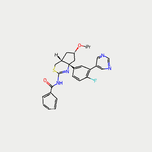 CC(C)O[C@@H]1C[C@H]2CSC(NC(=O)c3ccccc3)=N[C@@]2(c2ccc(F)c(-c3cncnc3)c2)C1